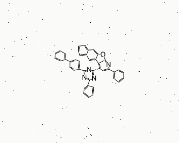 c1ccc(-c2ccc(-c3nc(-c4ccccc4)nc(-c4cc(-c5ccccc5)nc5oc6cc7ccccc7cc6c45)n3)cc2)cc1